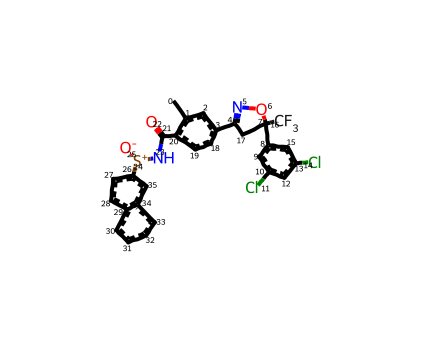 Cc1cc(C2=NOC(c3cc(Cl)cc(Cl)c3)(C(F)(F)F)C2)ccc1C(=O)N[S+]([O-])c1ccc2ccccc2c1